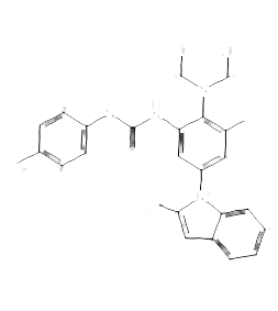 CCOC(=O)c1cc2ccccc2n1-c1cc(Cl)c(N(CC(C)C)CC(C)C)c(NC(=O)Nc2ccc(Cl)cc2)c1